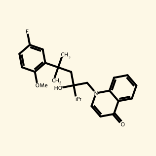 COc1ccc(F)cc1C(C)(C)CC(O)(Cn1ccc(=O)c2ccccc21)C(C)C